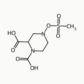 CS(=O)(=O)ON1CCN(C(=O)O)C(C(=O)O)C1